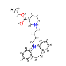 CCOC(=O)C1CCCN(CCCCN2c3ccccc3CCc3ccccc32)C1